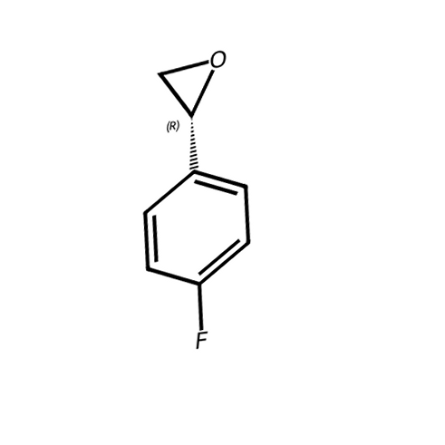 Fc1ccc([C@@H]2CO2)cc1